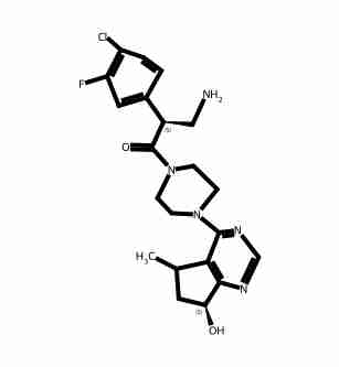 CC1C[C@H](O)c2ncnc(N3CCN(C(=O)[C@H](CN)c4ccc(Cl)c(F)c4)CC3)c21